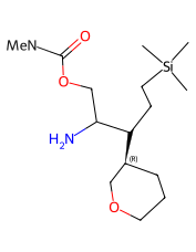 CNC(=O)OCC(N)C(CC[Si](C)(C)C)[C@H]1CCCOC1